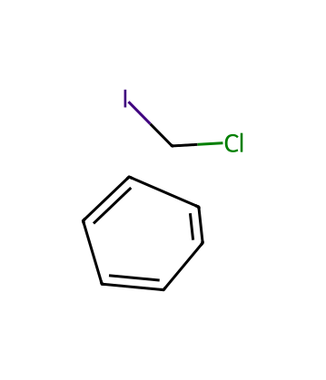 ClCI.c1ccccc1